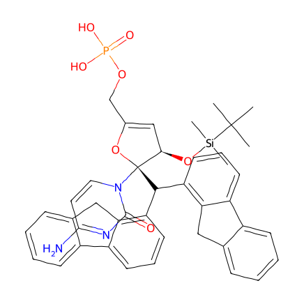 CC(C)(C)[Si](C)(C)O[C@@H]1C=C(COP(=O)(O)O)O[C@@]1(C(c1cccc2c1Cc1ccccc1-2)c1cccc2c1Cc1ccccc1-2)n1ccc(N)nc1=O